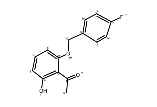 CC(=O)c1c(O)cccc1OCc1ccc(F)cc1